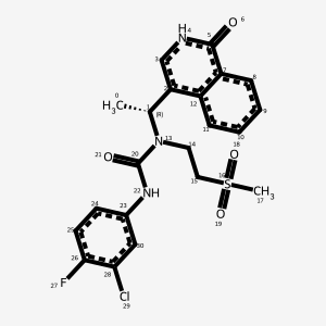 C[C@H](c1c[nH]c(=O)c2ccccc12)N(CCS(C)(=O)=O)C(=O)Nc1ccc(F)c(Cl)c1